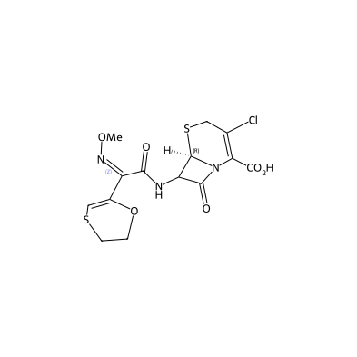 CO/N=C(\C(=O)NC1C(=O)N2C(C(=O)O)=C(Cl)CS[C@H]12)C1=CSCCO1